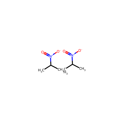 CC(C)[N+](=O)[O-].CC(C)[N+](=O)[O-]